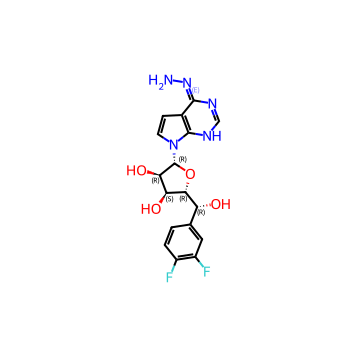 N/N=c1/nc[nH]c2c1ccn2[C@@H]1O[C@H]([C@H](O)c2ccc(F)c(F)c2)[C@@H](O)[C@H]1O